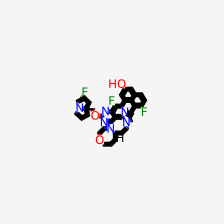 C#Cc1c(F)ccc2cc(O)cc(-c3nc4c5c(nc(OC[C@@]67CCCN6C[C@H](F)C7)nc5c3F)N3CCOCCC[C@H]3CCN4C)c12